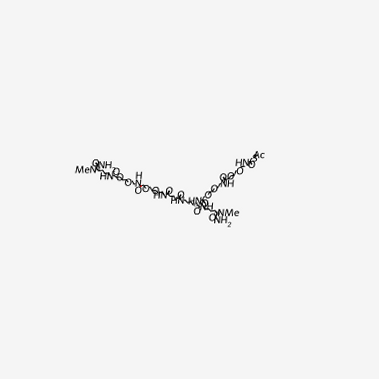 CN[C@@H](CCCCNC(=O)COCCOCCNC(=O)COCCOCCNC(=O)CCCC(=O)NCCCC[C@H](NC(=O)COCCOCCNC(=O)COCCOCCNC(=O)CSC(C)=O)C(=O)NCCCC[C@H](NC)C(N)=O)C(N)=O